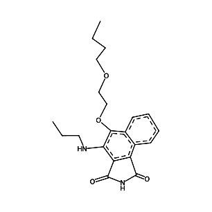 CCCCOCCOc1c(NCCC)c2c(c3ccccc13)C(=O)NC2=O